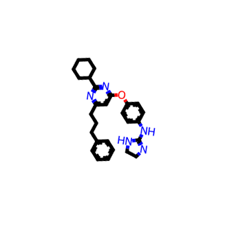 c1ccc(CCCc2cc(Oc3ccc(NC4=NCCN4)cc3)nc(C3CCCCC3)n2)cc1